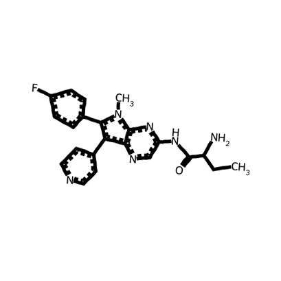 CCC(N)C(=O)Nc1cnc2c(-c3ccncc3)c(-c3ccc(F)cc3)n(C)c2n1